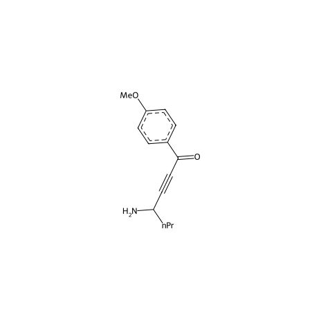 CCCC(N)C#CC(=O)c1ccc(OC)cc1